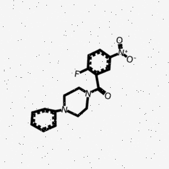 O=C(c1cc([N+](=O)[O-])ccc1F)N1CCN(c2ccccc2)CC1